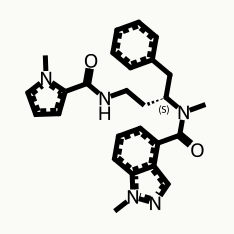 CN(C(=O)c1cccc2c1cnn2C)[C@H](CCNC(=O)c1cccn1C)Cc1ccccc1